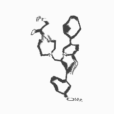 COc1cccc(-c2nc3ccc(-c4ccccc4)cn3c2CN2CCN(C(=O)CC(C)C)CC2)c1